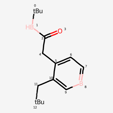 CC(C)(C)BC(=O)Cc1ccbcc1CC(C)(C)C